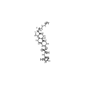 CC(C)CCC[C@@H](C)[C@H]1CCC2C3CC=C4CC(OC(=O)NCc5ncc[nH]5)CC[C@]4(C)C3CC[C@@]21C